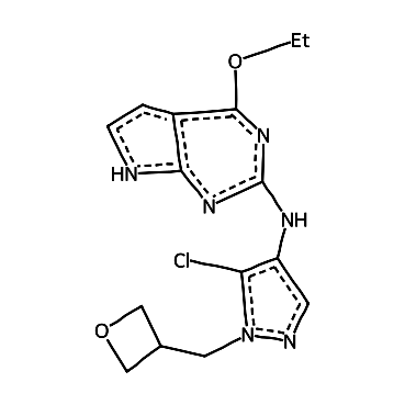 CCOc1nc(Nc2cnn(CC3COC3)c2Cl)nc2[nH]ccc12